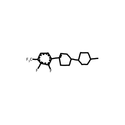 CC1CCC(C2CC=C(c3ccc(C(F)(F)F)c(F)c3F)CC2)CC1